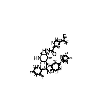 O=C(NC1CNCC(n2c(-c3ncccc3F)nc3cnc(-n4nccn4)cc32)C1)c1ncc(C(F)F)s1